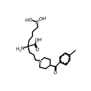 Cc1ccc(C(=O)C2CCN(CCCC(N)(CCCCB(O)O)C(=O)O)CC2)cc1